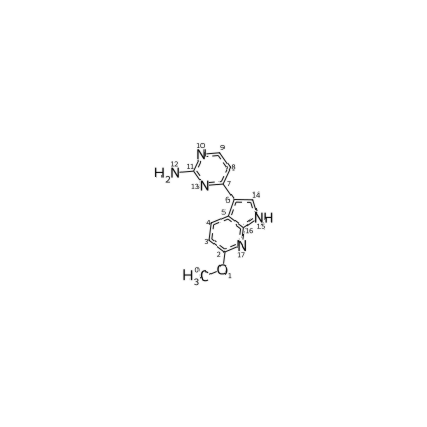 COc1ccc2c(-c3ccnc(N)n3)c[nH]c2n1